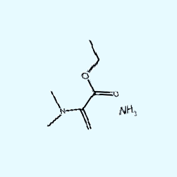 C=C(C(=O)OCC)N(C)C.N